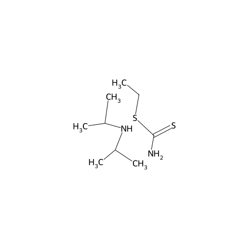 CC(C)NC(C)C.CCSC(N)=S